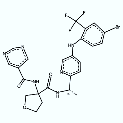 C[C@H](NC(=O)C1(NC(=O)c2cncnc2)CCOC1)c1ccc(Nc2ccc(Br)cc2C(F)(F)F)cn1